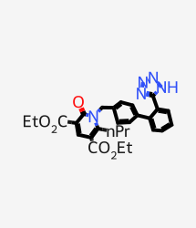 CCCc1c(C(=O)OCC)cc(C(=O)OCC)c(=O)n1Cc1ccc(-c2ccccc2-c2nnn[nH]2)cc1